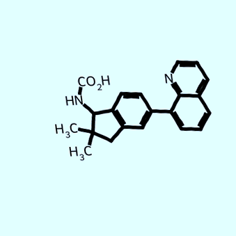 CC1(C)Cc2cc(-c3cccc4cccnc34)ccc2C1NC(=O)O